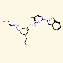 CCCC1C[C@@H](CNCCO)C[C@H](CNc2nc(NCc3ccccc3Cl)ncc2F)C1